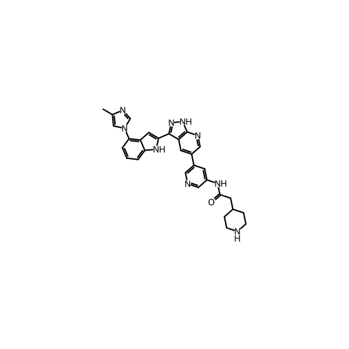 Cc1cn(-c2cccc3[nH]c(-c4n[nH]c5ncc(-c6cncc(NC(=O)CC7CCNCC7)c6)cc45)cc23)cn1